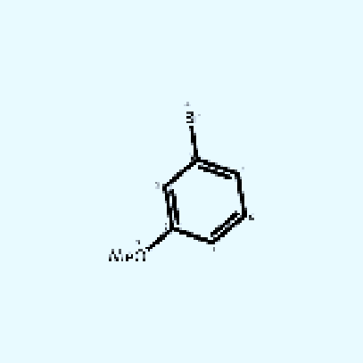 COc1[c]c(Br)ccc1